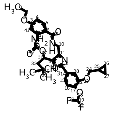 CCOc1ccc(C(=O)NCc2nc(-c3ccc(OC(F)F)c(OCC4CC4)c3)oc2C(CC(C)(C)C)OC(N)=O)c(F)c1